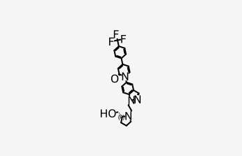 O=c1cc(-c2ccc(C(F)(F)F)cc2)ccn1-c1ccc2c(cnn2CCN2CCC[C@@H]2CO)c1